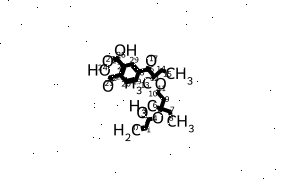 C=CC(=O)OC(C)(CC)CCOC(C)(CC)C(=O)c1ccc(C(=O)O)c(C(=O)O)c1